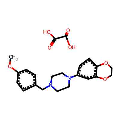 COc1ccc(CN2CCN(c3ccc4c(c3)OCCO4)CC2)cc1.O=C(O)C(=O)O